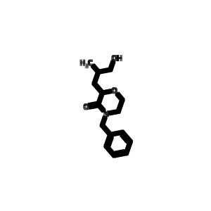 CC(CO)CC1OCCN(Cc2ccccc2)C1=O